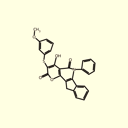 COc1cccc(Sc2c(O)c3c(=O)n(-c4ccccc4)c4c(c3oc2=O)Cc2ccccc2-4)c1